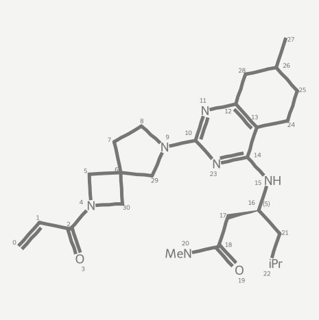 C=CC(=O)N1CC2(CCN(c3nc4c(c(N[C@H](CC(=O)NC)CC(C)C)n3)CCC(C)C4)C2)C1